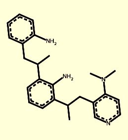 CC(Cc1ccccc1N)c1cccc(C(C)Cc2cnccc2N(C)C)c1N